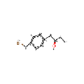 CCC(=O)Cc1ccc(CBr)cc1